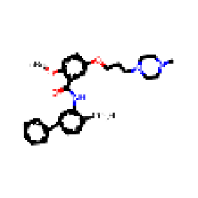 CCCCOc1ccc(OCCCN2CCN(C)CC2)cc1C(=O)Nc1cc(-c2ccccc2)ccc1C(=O)O